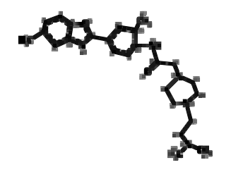 Cc1ccc2oc(-c3ccc(NC(=O)CN4CCN(CCN(C)C)CC4)c(C)c3)nc2c1